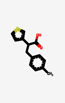 Cc1ccc(CC(C(=O)O)c2ccsc2)cc1